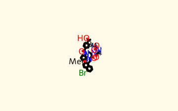 COc1ccc2c(Br)cccc2c1CN1C(=O)C(NC(=O)[C@H](C)N(C)C(=O)OC(C)(C)C)CN(C(=O)c2ccc(C(C)O)cc2)c2ccccc21